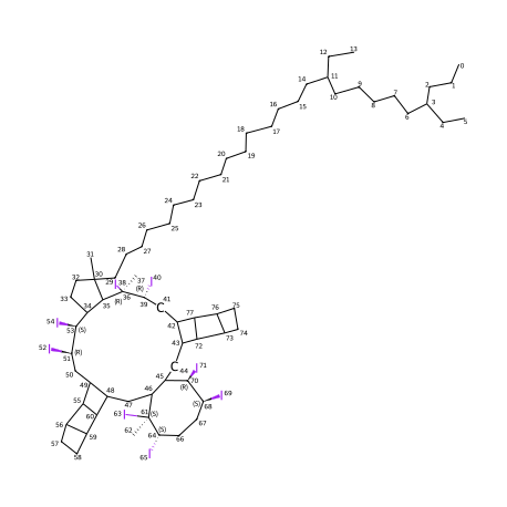 CCCC(CC)CCCCCC(CC)CCCCCCCCCCCCCCCCC1(C)CCC2C1[C@@](C)(I)[C@H](I)CC1C(CC3C(CC4C(C[C@@H](I)[C@H]2I)C2C5CCC5C42)[C@](C)(I)[C@@H](I)CC[C@H](I)[C@@H]3I)C2C3CCC3C12